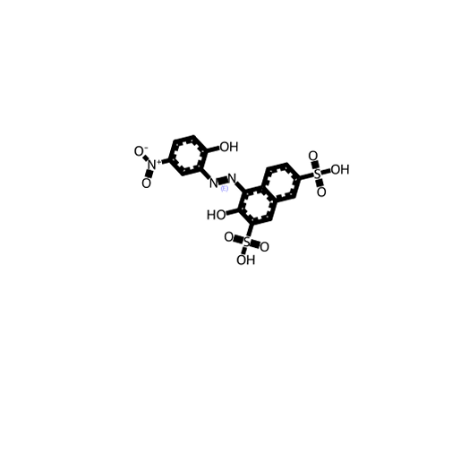 O=[N+]([O-])c1ccc(O)c(/N=N/c2c(O)c(S(=O)(=O)O)cc3cc(S(=O)(=O)O)ccc23)c1